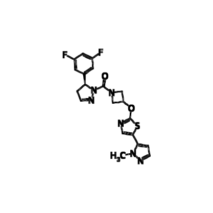 Cn1nccc1-c1cnc(OC2CN(C(=O)N3N=CC[C@H]3c3cc(F)cc(F)c3)C2)s1